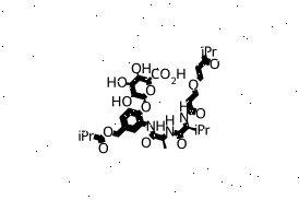 CC(C)C(=O)CCOCCC(=O)N[C@H](C(=O)N[C@@H](C)C(=O)Nc1cc(COC(=O)C(C)C)ccc1O[C@@H]1O[C@H](C(=O)O)[C@@H](O)[C@H](O)[C@H]1O)C(C)C